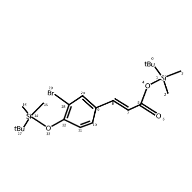 CC(C)(C)[Si](C)(C)OC(=O)/C=C/c1ccc(O[Si](C)(C)C(C)(C)C)c(Br)c1